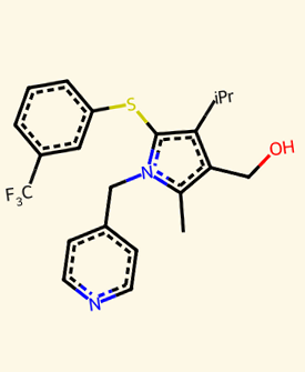 Cc1c(CO)c(C(C)C)c(Sc2cccc(C(F)(F)F)c2)n1Cc1ccncc1